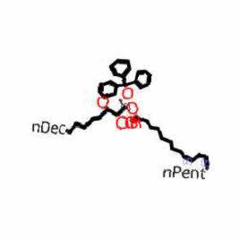 CCCCC/C=C\C/C=C\CCCCCCCC(=O)O[C@@H](COC(c1ccccc1)(c1ccccc1)c1ccccc1)C(O)C(=O)CCCCCCCCCCCCCCC